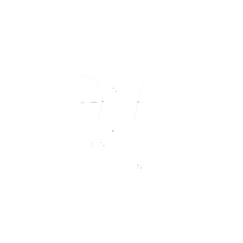 CCC1(C)CC(N)(C#N)C(C)C(C)(CC)N1